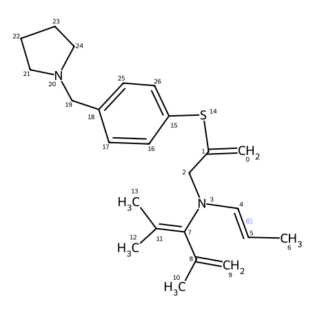 C=C(CN(/C=C/C)C(C(=C)C)=C(C)C)Sc1ccc(CN2CCCC2)cc1